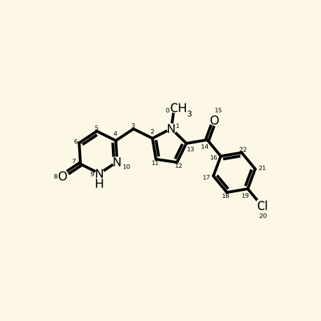 Cn1c(Cc2ccc(=O)[nH]n2)ccc1C(=O)c1ccc(Cl)cc1